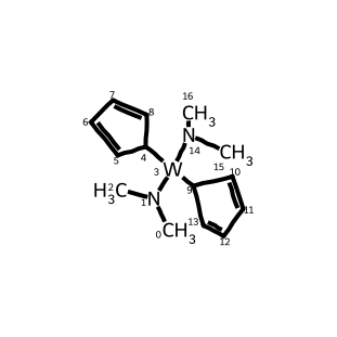 C[N](C)[W]([CH]1C=CC=C1)([CH]1C=CC=C1)[N](C)C